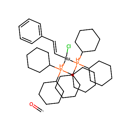 [C]=O.[Cl][Ru]([CH]=Cc1ccccc1)([PH](C1CCCCC1)(C1CCCCC1)C1CCCCC1)[PH](C1CCCCC1)(C1CCCCC1)C1CCCCC1